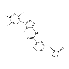 Cc1cc(C)c(-c2cnc(NC(=O)c3cccc(CN4CCC4=O)c3)n2C)cc1C